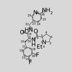 CCN1CCCC1C(=O)N[C@@H](Cc1ccc(F)c(F)c1)C(=O)NCc1ccc(N)nc1